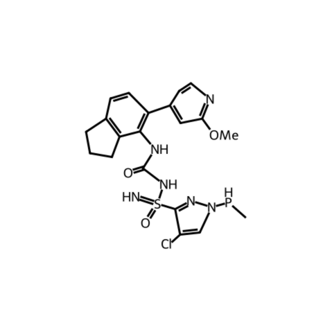 COc1cc(-c2ccc3c(c2NC(=O)NS(=N)(=O)c2nn(PC)cc2Cl)CCC3)ccn1